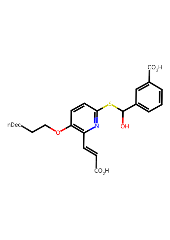 CCCCCCCCCCCCOc1ccc(SC(O)c2cccc(C(=O)O)c2)nc1C=CC(=O)O